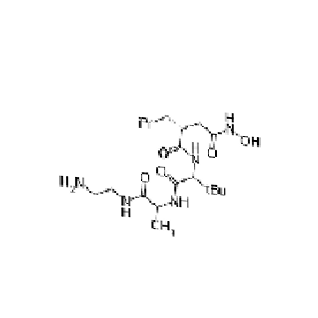 CC(C)C[C@H](CC(=O)NO)C(=O)NC(C(=O)NC(C)C(=O)NCCN)C(C)(C)C